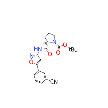 CC(C)(C)OC(=O)N1CCC[C@H]1C(=O)Nc1cc(-c2cccc(C#N)c2)on1